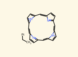 C1=Cc2cc3ccc(cc4nc(cc5ccc(cc1n2)[nH]5)C=C4)[nH]3.C[CH2][Pt]